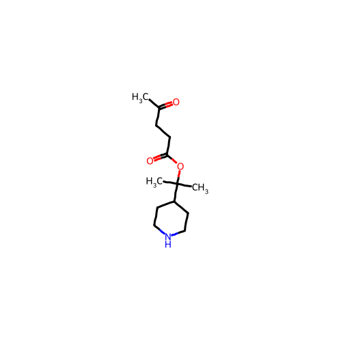 CC(=O)CCC(=O)OC(C)(C)C1CCNCC1